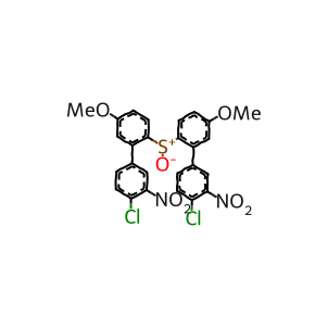 COc1ccc([S+]([O-])c2ccc(OC)cc2-c2ccc(Cl)c([N+](=O)[O-])c2)c(-c2ccc(Cl)c([N+](=O)[O-])c2)c1